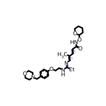 CC\C(=N/C=C(C)/C=C/C(=O)NOC1CCCCO1)NCCOc1ccc(CN2CCOCC2)cc1